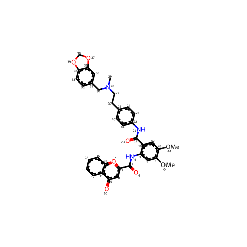 COc1cc(NC(=O)c2cc(=O)c3ccccc3o2)c(C(=O)Nc2ccc(CCN(C)Cc3ccc4c(c3)OCO4)cc2)cc1OC